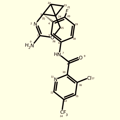 NC1=N[C@@]2(c3cc(NC(=O)c4ncc(C(F)(F)F)cc4Cl)ccc3F)C3CC32CO1